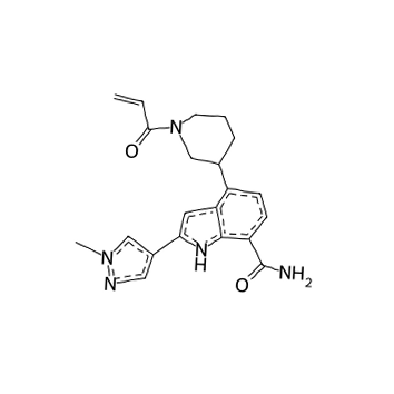 C=CC(=O)N1CCCC(c2ccc(C(N)=O)c3[nH]c(-c4cnn(C)c4)cc23)C1